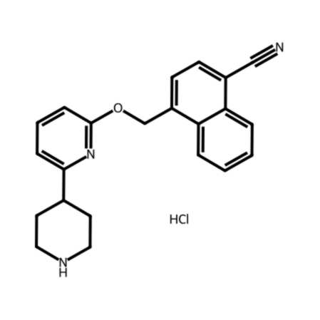 Cl.N#Cc1ccc(COc2cccc(C3CCNCC3)n2)c2ccccc12